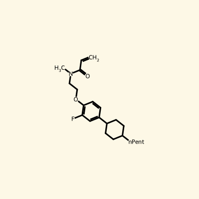 C=CC(=O)N(C)CCOc1ccc(C2CCC(CCCCC)CC2)cc1F